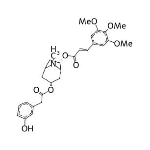 COc1cc(C=CC(=O)O[C@H]2CC3C[C@H](OC(=O)Cc4cccc(O)c4)CC2N3C)cc(OC)c1OC